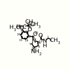 CCNC(=O)[C@@H]1C[C@@H](N)CN1C(=O)c1cccc(OC)c1OC(C)(C)C